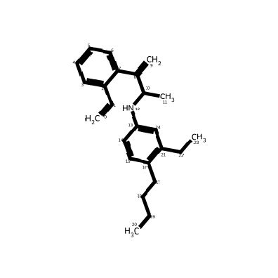 C=Cc1ccccc1C(=C)C(C)Nc1ccc(CCCC)c(CC)c1